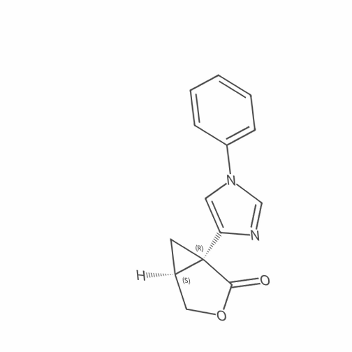 O=C1OC[C@H]2C[C@@]12c1cn(-c2ccccc2)cn1